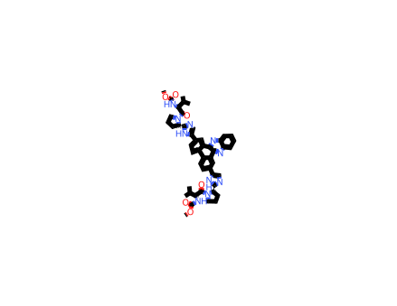 COC(=O)NC(C(=O)N1CCC[C@H]1c1ncc(-c2ccc3c4ccc(-c5cnc([C@@H]6CCCN6C(=O)[C@@H](NC(=O)OC)C(C)C)[nH]5)cc4c4nc5ccccc5nc4c3c2)[nH]1)C(C)C